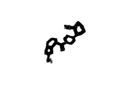 N#Cc1ccccc1N1CCN(C(=O)C2CCCc3sc(N)nc32)CC1